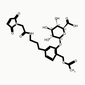 CC(=O)OCc1ccc(CCCNC(=O)CN2C(=O)C=CC2=O)cc1O[C@@H]1O[C@H](C(=O)O)[C@@H](O)[C@H](O)[C@H]1O